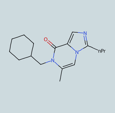 CCCc1ncc2c(=O)n(CC3CCCCC3)c(C)cn12